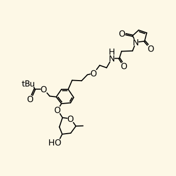 CC1CC(O)CC(Oc2ccc(CCCOCCNC(=O)CCN3C(=O)C=CC3=O)cc2COC(=O)C(C)(C)C)O1